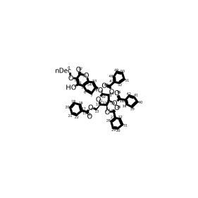 CCCCCCCCCCOc1c(O)c2ccc(O[C@@H]3O[C@H](COC(=O)c4ccccc4)[C@H](OC(=O)c4ccccc4)[C@H](OC(=O)c4ccccc4)[C@H]3OC(=O)c3ccccc3)cc2oc1=O